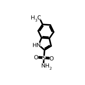 Cc1ccc2cc(S(N)(=O)=O)[nH]c2c1